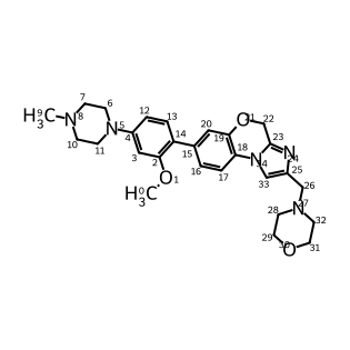 COc1cc(N2CCN(C)CC2)ccc1-c1ccc2c(c1)OCc1nc(CN3CCOCC3)cn1-2